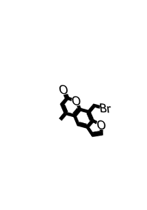 Cc1cc(=O)oc2c(CBr)c3occc3cc12